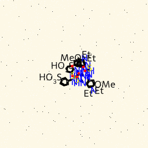 CCN(CC)c1cc(Nc2nc(Nc3cc(N(CC)CC)c(OC)cc3/N=N/c3nc(-c4cccc(S(=O)(=O)O)c4)ns3)nc(SC3CCCCC3)n2)c(/N=N/c2nc(-c3cccc(S(=O)(=O)O)c3)ns2)cc1OC